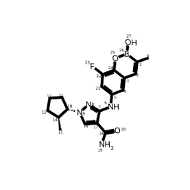 CC1=Cc2cc(Nc3nn([C@H]4CCC[C@@H]4C)cc3C(N)=O)cc(F)c2OB1O